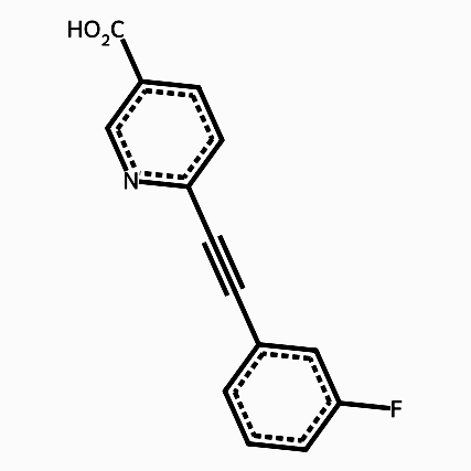 O=C(O)c1ccc(C#Cc2cccc(F)c2)nc1